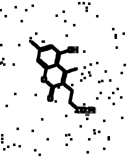 CCOC(=O)CCc1c(C)c2c(O)cc(C)cc2oc1=O